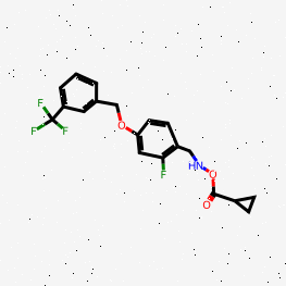 O=C(ONCc1ccc(OCc2cccc(C(F)(F)F)c2)cc1F)C1CC1